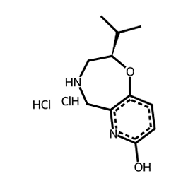 CC(C)[C@@H]1CNCc2nc(O)ccc2O1.Cl.Cl